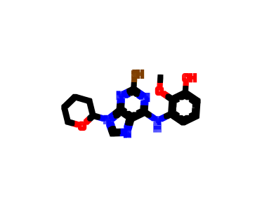 COc1c(O)cccc1Nc1nc(S)nc2c1ncn2C1CCCCO1